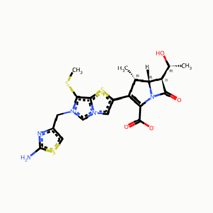 CSc1c2sc(C3=C(C(=O)[O-])N4C(=O)[C@H]([C@@H](C)O)[C@H]4[C@H]3C)c[n+]2cn1Cc1csc(N)n1